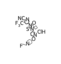 Cl.N#Cc1ncc(N2C(=O)C3(CCC3)N(c3ccc(OC4CCN(CCF)CC4)nc3)C2=S)cc1C(F)(F)F